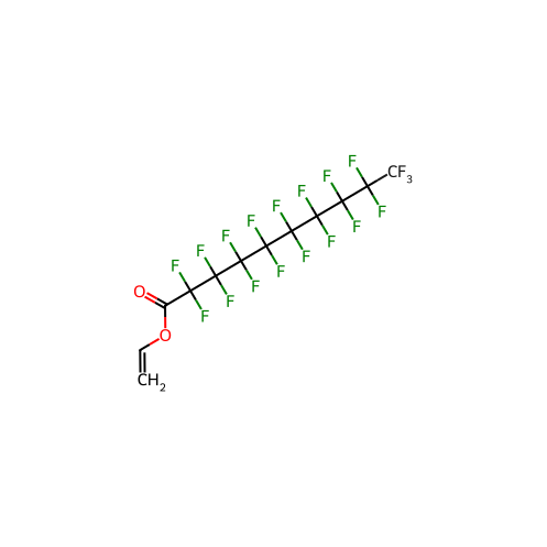 C=COC(=O)C(F)(F)C(F)(F)C(F)(F)C(F)(F)C(F)(F)C(F)(F)C(F)(F)C(F)(F)C(F)(F)F